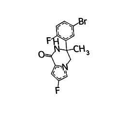 CC1(c2cc(Br)ccc2F)Cn2cc(F)cc2C(=O)N1